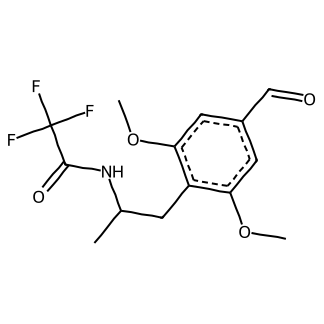 COc1cc(C=O)cc(OC)c1CC(C)NC(=O)C(F)(F)F